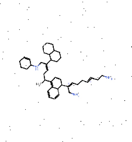 CC(C/C=C(\CNC1C=CCCC1)C1CCCC2CCCCC21)C1=C2C=CC=CC2C(/C(=C/CC/C=C/CCN)CN)CC1